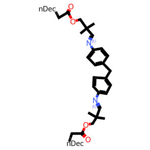 CCCCCCCCCCCC(=O)OCC(C)(C)/C=N/c1ccc(Cc2ccc(/N=C/C(C)(C)COC(=O)CCCCCCCCCCC)cc2)cc1